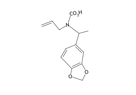 C=CCN(C(=O)O)C(C)c1ccc2c(c1)OCO2